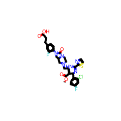 COC(=O)C1=C(CN2CCN3C(=O)N(c4ccc(CCC(=O)O)cc4F)CC3C2)NC(c2nccs2)=NC1c1ccc(F)cc1Cl